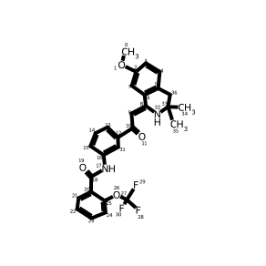 COc1ccc2c(c1)/C(=C/C(=O)c1cccc(NC(=O)c3ccccc3OC(F)(F)F)c1)NC(C)(C)C2